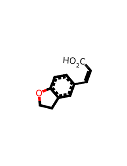 O=C(O)/C=C\c1ccc2c(c1)CCO2